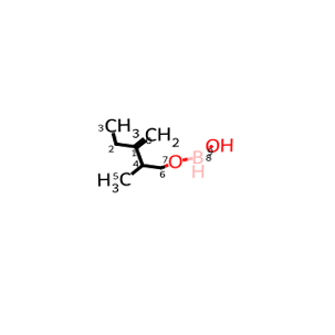 C=C(CC)C(C)COBO